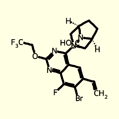 C=Cc1cc2c(N3C[C@H]4CC[C@@H](C3)N4C(=O)O)nc(OCC(F)(F)F)nc2c(F)c1Br